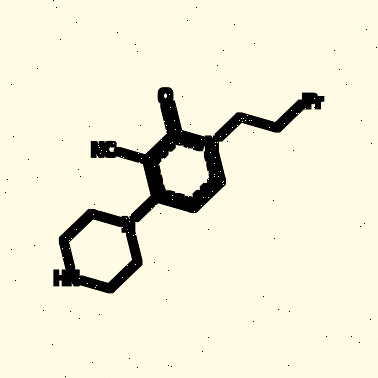 CC(C)CCn1ccc(N2CCNCC2)c(C#N)c1=O